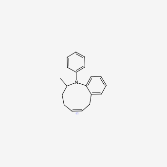 CC1CC/C=C\Cc2ccccc2N1c1ccccc1